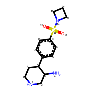 NC1CNCCC1c1ccc(S(=O)(=O)N2CCC2)cc1